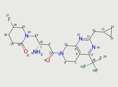 N[C@@H](CC(=O)N1CCc2c(nc(CC3CC3)nc2C(F)(F)F)C1)CN1CC(F)CCC1=O